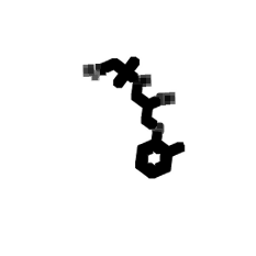 Cc1ccccc1OCC(O)CNC(C)(C)CN